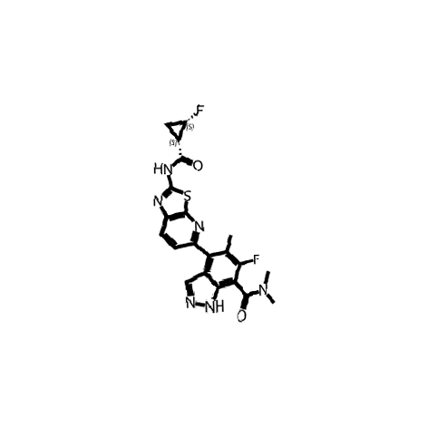 Cc1c(F)c(C(=O)N(C)C)c2[nH]ncc2c1-c1ccc2nc(NC(=O)[C@@H]3C[C@@H]3F)sc2n1